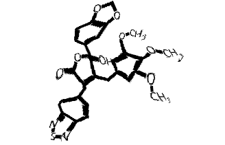 COc1cc(CC2=C(c3ccc4nsnc4c3)C(=O)OC2(O)c2ccc3c(c2)OCO3)cc(OC)c1OC